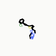 Clc1ccccc1C#Cc1ccc(-c2ccn3nccc3n2)s1